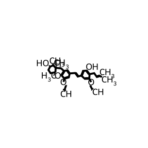 C#CCOc1cc(/C=C/c2cc3c(c(OCC#C)c2)O[C@]2(C)CC[C@@H](O)C(C)(C)[C@H]2C3)cc(O)c1CC=C(C)C